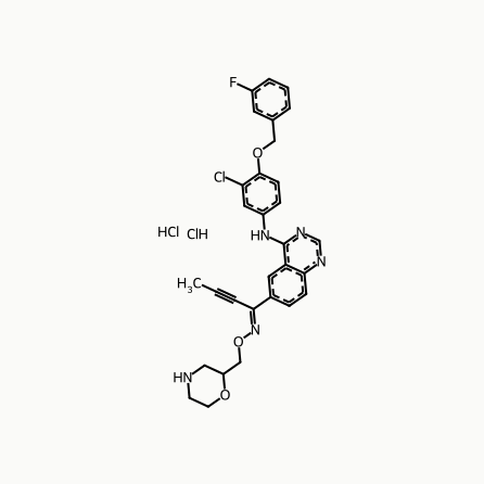 CC#CC(=NOCC1CNCCO1)c1ccc2ncnc(Nc3ccc(OCc4cccc(F)c4)c(Cl)c3)c2c1.Cl.Cl